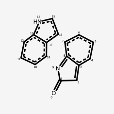 O=C1C=c2ccccc2=N1.c1ccc2[nH]ccc2c1